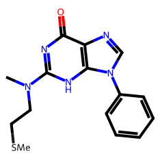 CSCCN(C)c1nc(=O)c2ncn(-c3ccccc3)c2[nH]1